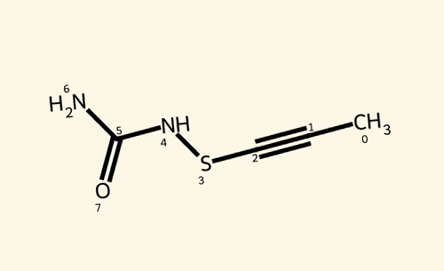 CC#CSNC(N)=O